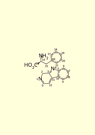 C1=NCC2=Nc3ccccc3C2=C1.N[C@@H](Cc1ccccc1)C(=O)O